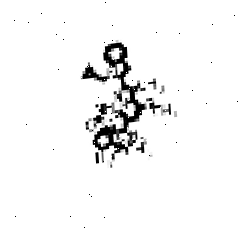 COc1cc(C(=O)N2CC3CCC2(C(C)(C)C)[C@@H]3OC(N)=O)cn2nc(-c3cc4ccccc4n3CC3CC3)c(C)c12